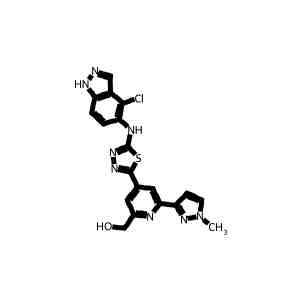 Cn1ccc(-c2cc(-c3nnc(Nc4ccc5[nH]ncc5c4Cl)s3)cc(CO)n2)n1